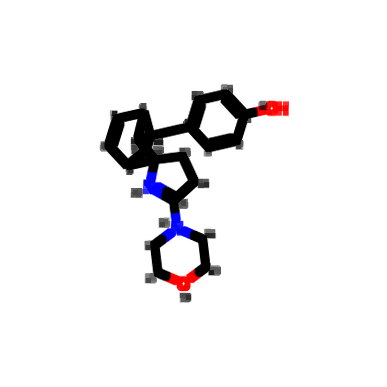 Oc1ccc(C2C3C=CC(CC3)C23CCC(N2CCOCC2)=N3)cc1